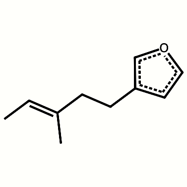 C/C=C(\C)CCc1ccoc1